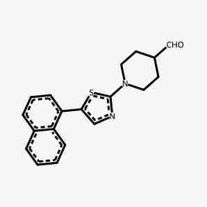 O=CC1CCN(c2ncc(-c3cccc4ccccc34)s2)CC1